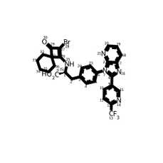 O=C(O)[C@H](Cc1ccc(-n2c(-c3ccc(C(F)(F)F)nc3)nc3cccnc32)cc1)NC1=C(Br)C(=O)C12CCCCC2